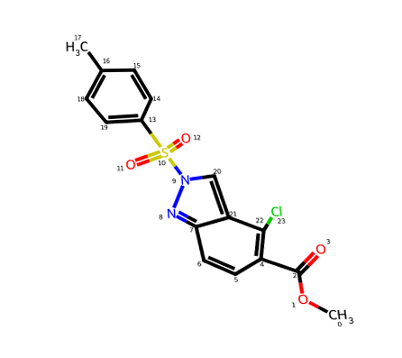 COC(=O)c1ccc2nn(S(=O)(=O)c3ccc(C)cc3)cc2c1Cl